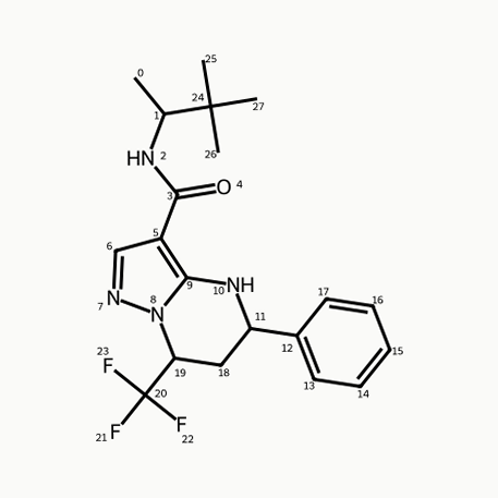 CC(NC(=O)c1cnn2c1NC(c1ccccc1)CC2C(F)(F)F)C(C)(C)C